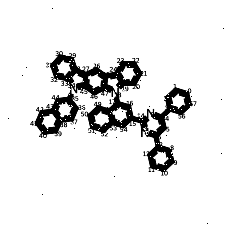 c1ccc(-c2cc(-c3ccccc3)nc(-c3cc(-n4c5ccccc5c5cc6c7ccccc7n(-c7ccc8ccccc8c7)c6cc54)c4ccccc4c3)n2)cc1